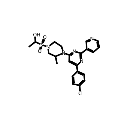 CC1CN(S(=O)(=O)C(C)O)CCN1c1cc(-c2ccc(Cl)cc2)nc(-c2cccnc2)n1